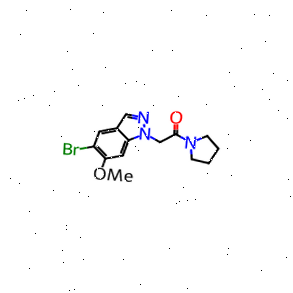 COc1cc2c(cnn2CC(=O)N2CCCC2)cc1Br